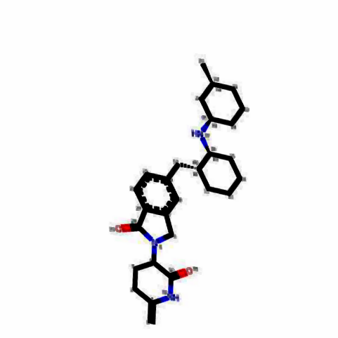 C=C1CCC(N2Cc3cc(C[C@H]4CCCC[C@@H]4N[C@@H]4CCC[C@H](C)C4)ccc3C2=O)C(=O)N1